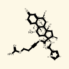 CCCC(=O)OCCC#CSC(=O)[C@@]1(OC(=O)c2cccs2)[C@H](C)C[C@H]2[C@@H]3C[C@H](F)C4=CC(=O)C=C[C@]4(C)[C@@]3(F)[C@@H](O)C[C@@]21C